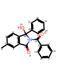 Cc1ccc2c(c1)C(=O)N(C(=O)c1ccccc1)C2(O)c1ccccc1